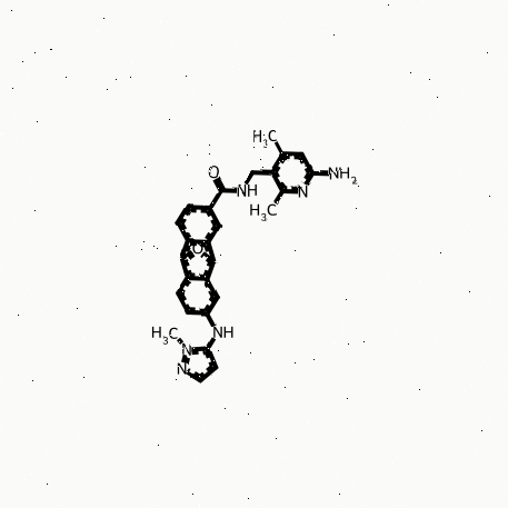 Cc1cc(N)nc(C)c1CNC(=O)c1ccc2c(c1)c1oc2c2ccc(Nc3ccnn3C)cc21